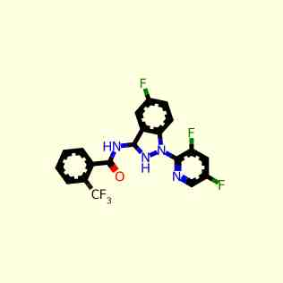 O=C(NC1NN(c2ncc(F)cc2F)c2ccc(F)cc21)c1ccccc1C(F)(F)F